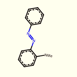 CNc1ccccc1N=Nc1ccccc1